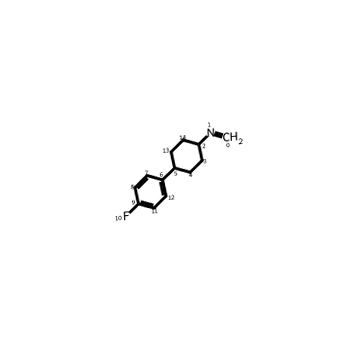 C=NC1CCC(c2ccc(F)cc2)CC1